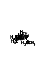 Cc1cc(C(=O)NCCCN(C)C)ccc1Nc1ncc2c(n1)N(C1CCCC1)CC(C)C(=O)N2C